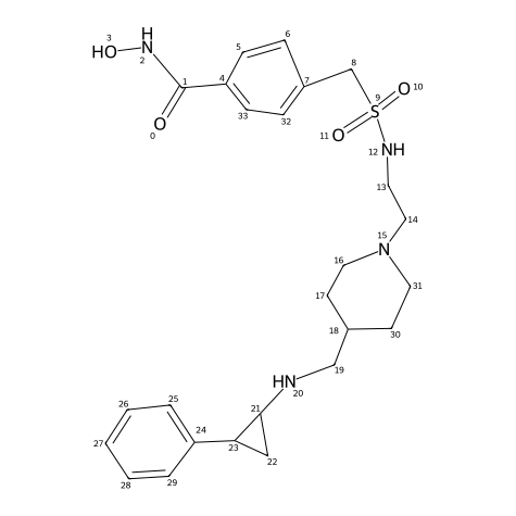 O=C(NO)c1ccc(CS(=O)(=O)NCCN2CCC(CNC3CC3c3ccccc3)CC2)cc1